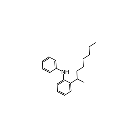 CCCCCCC(C)c1ccccc1Nc1ccccc1